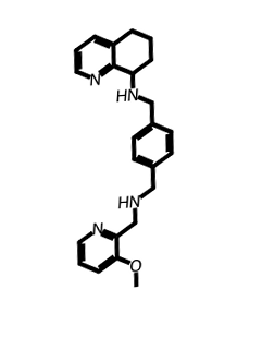 COc1cccnc1CNCc1ccc(CNC2CCCc3cccnc32)cc1